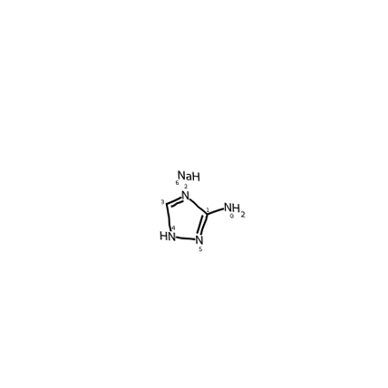 Nc1nc[nH]n1.[NaH]